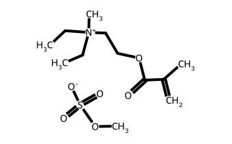 C=C(C)C(=O)OCC[N+](C)(CC)CC.COS(=O)(=O)[O-]